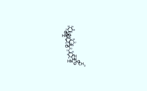 COC(=O)NC(=N)c1ccc(CCC(=O)N2CCCc3cc(NS(=O)(=O)c4ccccc4)ccc32)cc1